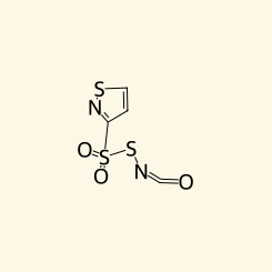 O=C=NSS(=O)(=O)c1ccsn1